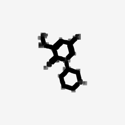 CC(C)Nc1cc(Cl)cn([C@@H]2CCCOC2)c1=O